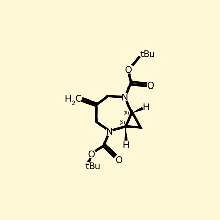 C=C1CN(C(=O)OC(C)(C)C)[C@@H]2C[C@@H]2N(C(=O)OC(C)(C)C)C1